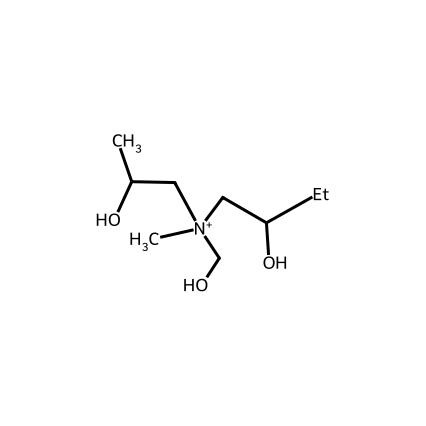 CCC(O)C[N+](C)(CO)CC(C)O